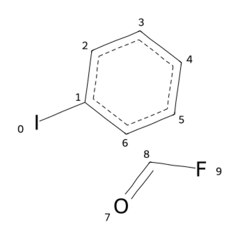 Ic1ccccc1.O=CF